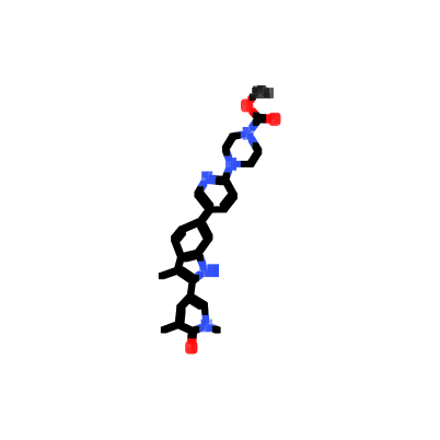 Cc1cc(-c2[nH]c3cc(-c4ccc(N5CCN(C(=O)OC(C)(C)C)CC5)nc4)ccc3c2C)cn(C)c1=O